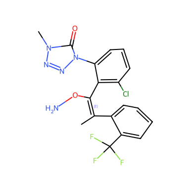 C/C(=C(\ON)c1c(Cl)cccc1-n1nnn(C)c1=O)c1ccccc1C(F)(F)F